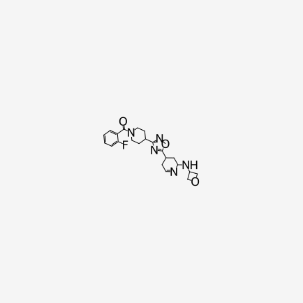 O=C(c1ccccc1F)N1CCC(c2noc(C3CC=NC(NC4COC4)C3)n2)CC1